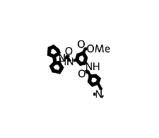 COC(=O)c1cc(NC(=O)c2ccc(CN(C)C)cc2)cc(NC(=O)n2c3ccccc3c3ccccc32)c1